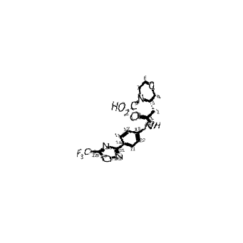 O=C(C[C@H]1COCCN1C(=O)O)Nc1ccc(-c2noc(C(F)(F)F)n2)cc1